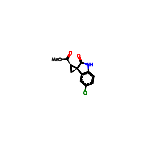 COC(=O)[C@H]1C[C@@]12C(=O)Nc1ccc(Cl)cc12